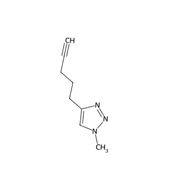 C#CCCCc1cn(C)nn1